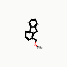 CC(C)(C)OCc1cccc2c1Cc1ccccc1-2